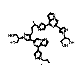 CC[C@H](C)n1cc(-c2nc(-c3cn(C(CO)CO)nc3CC[C@@H](C)n3cc(-c4nc(-c5cnn(C(CO)CO)c5)cn5nccc45)cn3)cn3nccc23)cn1